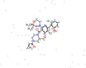 C=CC(=O)N1CCN2C(=O)c3c(N4CCOC(C)(C)C4)nc(-c4c(O)cccc4F)c(Cl)c3OCC2C1